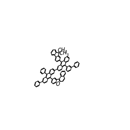 CC1(C)c2ccccc2-c2ccc(-c3c4ccccc4c(-c4cccc(-c5ccccc5)c4)c4ccc(-c5ccc6c(-c7ccccc7)c7cc(-c8ccccc8)ccc7c(-c7ccc8oc9ccc%10ccccc%10c9c8c7)c6c5)cc34)cc21